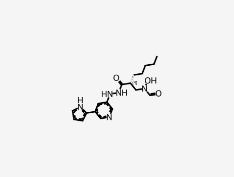 CCCCC[C@H](CN(O)C=O)C(=O)NNc1cncc(-c2ccc[nH]2)c1